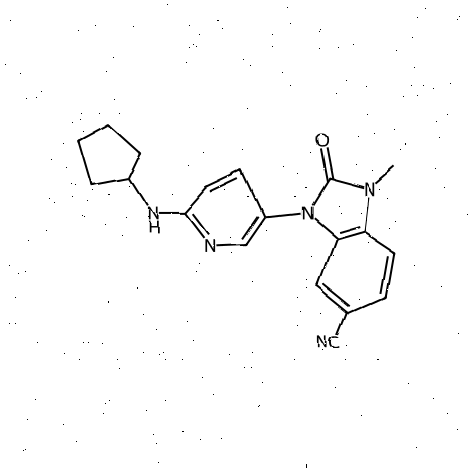 Cn1c(=O)n(-c2ccc(NC3CCCC3)nc2)c2cc(C#N)ccc21